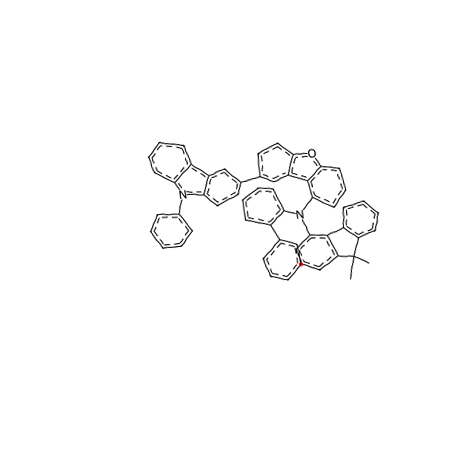 CC1(C)c2ccccc2-c2c(N(c3ccccc3-c3ccccc3)c3cccc4oc5ccc(-c6ccc7c(c6)c6ccccc6n7-c6ccccc6)cc5c34)cccc21